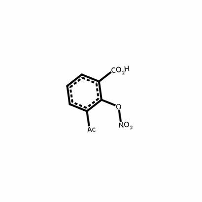 CC(=O)c1cccc(C(=O)O)c1O[N+](=O)[O-]